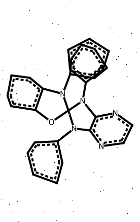 c1ccc(N2c3ccccc3OC23N(c2ccccc2)c2nccnc2N3c2ccccc2)cc1